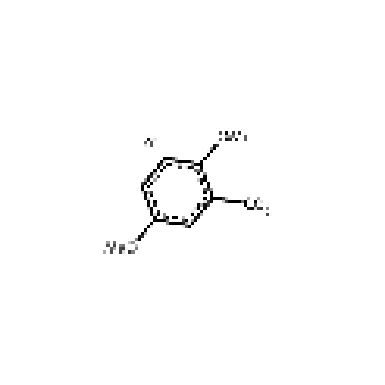 COc1ccc(OC)c(C(=O)O)c1.[Zn]